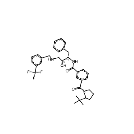 CC(C)(C)C1CCCN1C(=O)c1cccc(C(=O)N[C@@H](Cc2ccccc2)[C@@H](O)CNCc2cccc(C(F)(F)F)c2)c1